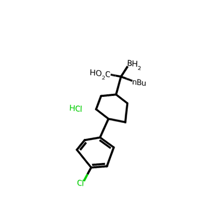 BC(CCCC)(C(=O)O)C1CCC(c2ccc(Cl)cc2)CC1.Cl